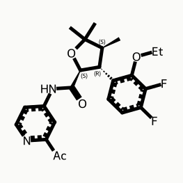 CCOc1c([C@@H]2[C@@H](C(=O)Nc3ccnc(C(C)=O)c3)OC(C)(C)[C@H]2C)ccc(F)c1F